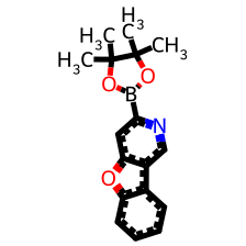 CC1(C)OB(c2cc3oc4ccccc4c3cn2)OC1(C)C